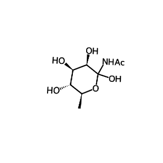 CC(=O)NC1(O)O[C@@H](C)[C@H](O)[C@@H](O)[C@H]1O